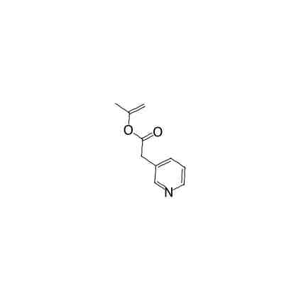 C=C(C)OC(=O)Cc1cccnc1